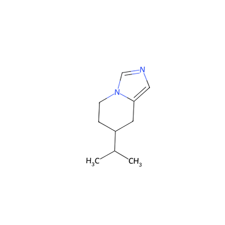 CC(C)C1CCn2cncc2C1